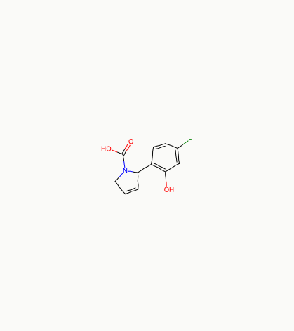 O=C(O)N1CC=CC1c1ccc(F)cc1O